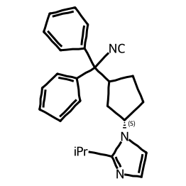 [C-]#[N+]C(c1ccccc1)(c1ccccc1)C1CC[C@H](n2ccnc2C(C)C)C1